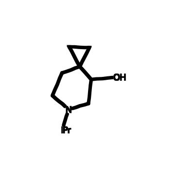 CC(C)N1CCC2(CC2)C(O)C1